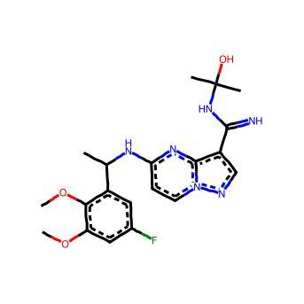 COc1cc(F)cc(C(C)Nc2ccn3ncc(C(=N)NC(C)(C)O)c3n2)c1OC